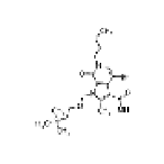 C=CCCn1cc(Br)c2c(C(=O)O)c(C)n(COCC[Si](C)(C)C)c2c1=O